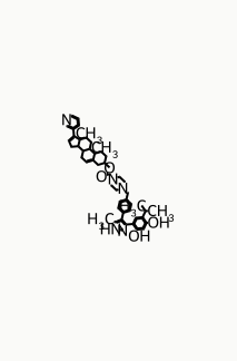 Cc1[nH]nc(-c2cc(C(C)C)c(O)cc2O)c1-c1ccc(CN2CCN(C(=O)OC3CCC4(C)C(=CCC5C4CCC4(C)C(c6cccnc6)=CCC54)C3)CC2)cc1